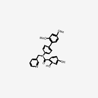 COc1ccc(-c2ccc(N(Cc3cccnc3)C(=O)c3ccc(O)cc3O)cc2)c(OC)c1